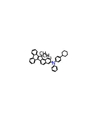 CC1(C)c2c(ccc3cc(N(c4ccccc4)c4ccc(C5CCCCC5)cc4)ccc23)-c2c1c1ccccc1c1ccccc21